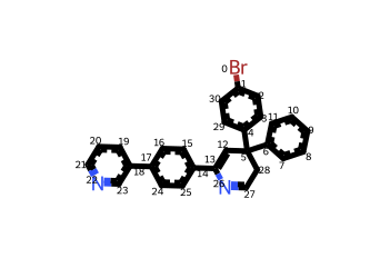 Brc1ccc(C2(c3ccccc3)C=C(c3ccc(-c4cccnc4)cc3)N=CC2)cc1